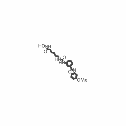 COc1ccc2oc(-c3cccc(NC(=O)NCCCCCC(=O)NO)c3)nc2c1